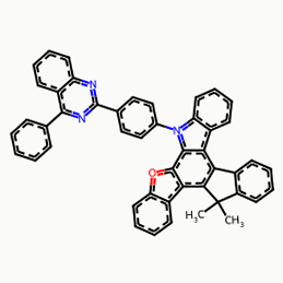 CC1(C)c2ccccc2-c2c1c1c3ccccc3oc1c1c2c2ccccc2n1-c1ccc(-c2nc(-c3ccccc3)c3ccccc3n2)cc1